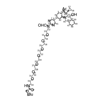 CC(=O)N1c2ccc(-c3cnc(N(C=O)CCOCCOCCOCCOCCOCCOCCOCCNC(=O)OC(C)(C)C)nc3)cc2N(Cc2ccccc2CO)C[C@@H]1C1CC1